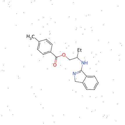 CCC(COC(=O)c1ccc(C)cc1)NC1=NCc2ccccc21